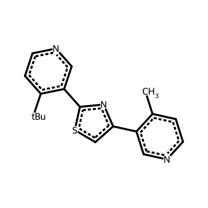 Cc1ccncc1-c1csc(-c2cnccc2C(C)(C)C)n1